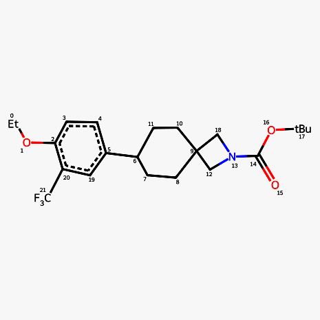 CCOc1ccc(C2CCC3(CC2)CN(C(=O)OC(C)(C)C)C3)cc1C(F)(F)F